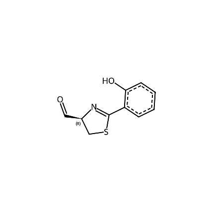 O=C[C@@H]1CSC(c2ccccc2O)=N1